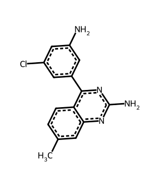 Cc1ccc2c(-c3cc(N)cc(Cl)c3)nc(N)nc2c1